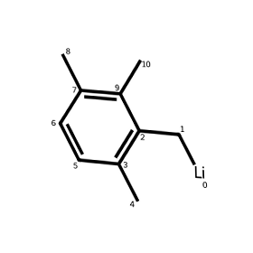 [Li][CH2]c1c(C)ccc(C)c1C